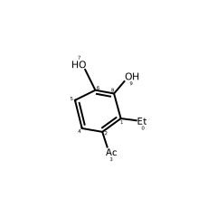 CCc1c(C(C)=O)ccc(O)c1O